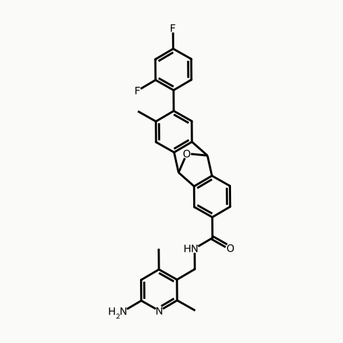 Cc1cc2c(cc1-c1ccc(F)cc1F)C1OC2c2cc(C(=O)NCc3c(C)cc(N)nc3C)ccc21